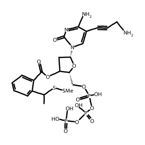 CSSC(C)c1ccccc1C(=O)OC1C[C@H](n2cc(C#CCN)c(N)nc2=O)O[C@@H]1COP(=O)(O)OP(=O)(O)OP(=O)(O)O